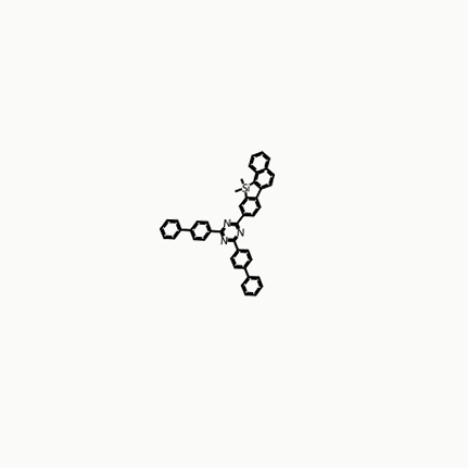 C[Si]1(C)c2cc(-c3nc(-c4ccc(-c5ccccc5)cc4)nc(-c4ccc(-c5ccccc5)cc4)n3)ccc2-c2ccc3ccccc3c21